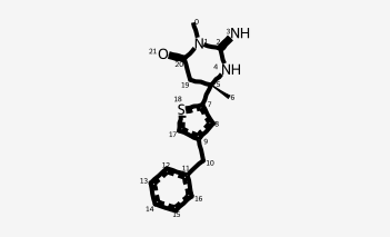 CN1C(=N)N[C@](C)(c2cc(Cc3ccccc3)cs2)CC1=O